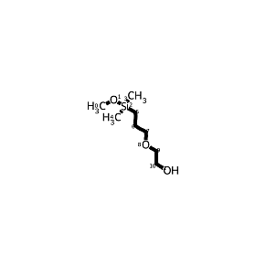 CO[Si](C)(C)CCCOCCO